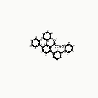 O=CC(=O)c1c(-c2cccc(-c3ccccc3)c2)ccc(-c2ccccc2)c1-c1ccccc1